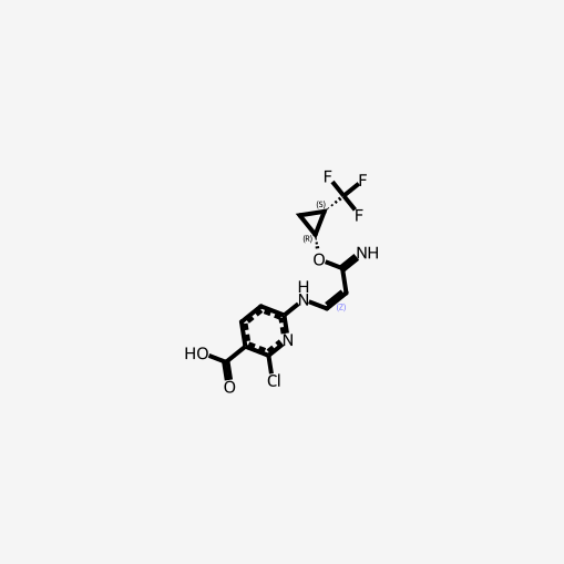 N=C(/C=C\Nc1ccc(C(=O)O)c(Cl)n1)O[C@@H]1C[C@@H]1C(F)(F)F